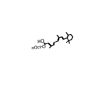 CCCCCCCCOC(O)C=C(C)C=CC=C(C)C=CC1=C(C)CCCC1(C)C